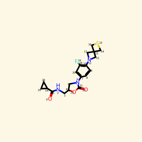 O=C(NCC1CN(c2ccc(N3CC4(CSC4)C3)c(F)c2)C(=O)O1)C1CC1